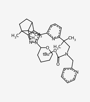 CC(C)(C)OC(=O)N(Cc1ccccn1)CC(C)(C)c1cccc(-c2c3c(nn2C2CCCCO2)C2(C)CCC3C2(C)C)n1